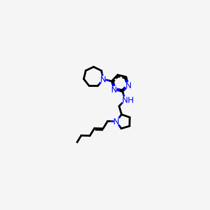 CCCC=CCN1CCCC1CNc1nccc(N2CCCCCC2)n1